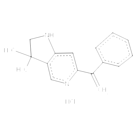 C=C(c1ccccc1)c1cc2c(cn1)C(C)(C)CN2.Cl